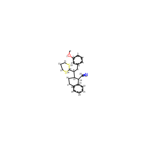 COc1cccc(CC(C2SCCCS2)C2CCc3ccccc3C2C#N)c1